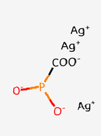 O=C([O-])P([O-])[O-].[Ag+].[Ag+].[Ag+]